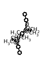 C=C(C)C(=O)OC(COc1ccc(-c2ccccc2)cc1)COc1cc(C)c(OCC(COc2ccc(-c3ccccc3)cc2)OC(=O)C(=C)C)c(C)c1